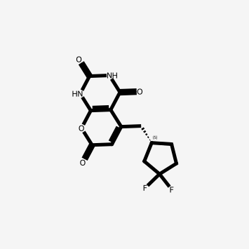 O=c1[nH]c(=O)c2c(C[C@@H]3CCC(F)(F)C3)cc(=O)oc2[nH]1